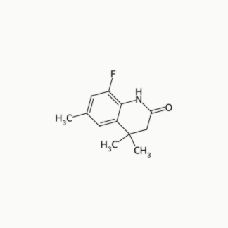 Cc1cc(F)c2c(c1)C(C)(C)CC(=O)N2